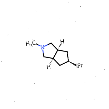 CC(C)[C@@H]1C[C@@H]2CN(C)C[C@@H]2C1